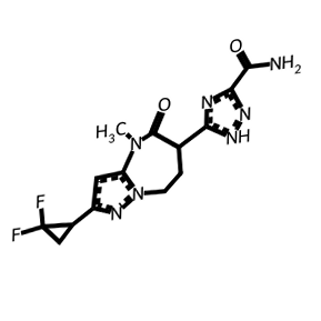 CN1C(=O)C(c2nc(C(N)=O)n[nH]2)CCn2nc(C3CC3(F)F)cc21